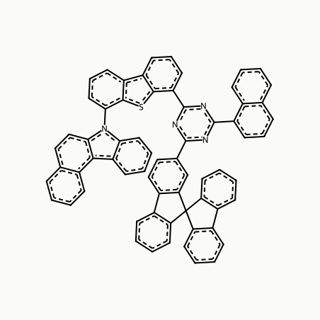 c1ccc2c(c1)-c1ccccc1C21c2ccccc2-c2ccc(-c3nc(-c4cccc5ccccc45)nc(-c4cccc5c4sc4c(-n6c7ccccc7c7c8ccccc8ccc76)cccc45)n3)cc21